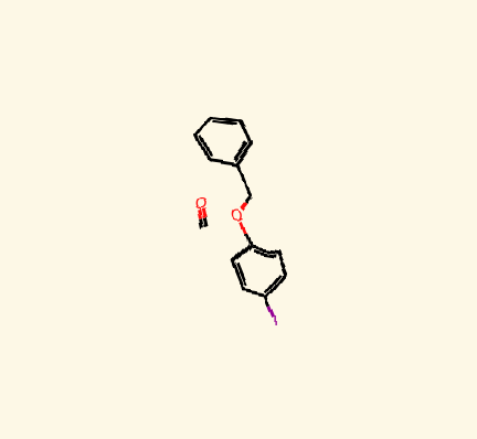 C=O.Ic1ccc(OCc2ccccc2)cc1